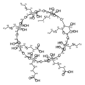 CCSCC1OC2OC3C(CSCC)OC(OC4C(CSCC)OC(OC5C(CSCCC(=O)O)OC(OC6C(CSCCC(=O)O)OC(OC7C(CSCCC(=O)O)OC(OC8C(CSCC)OC(OC9C(CSCC)OC(OC1C(O)C2O)C(O)C9O)C(O)C8O)C(O)C7O)C(O)C6O)C(O)C5O)C(O)C4O)C(O)C3O